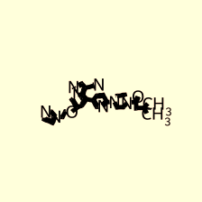 CC(C)CC(=O)N1CCN(c2ccc(-c3cc(OCCn4ccnc4)cn4ncc(C#N)c34)cn2)CC1